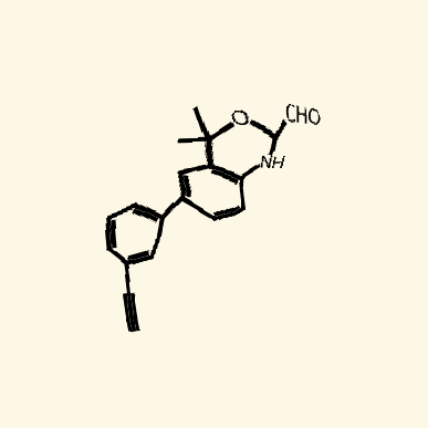 C#Cc1cccc(-c2ccc3c(c2)C(C)(C)OC(C=O)N3)c1